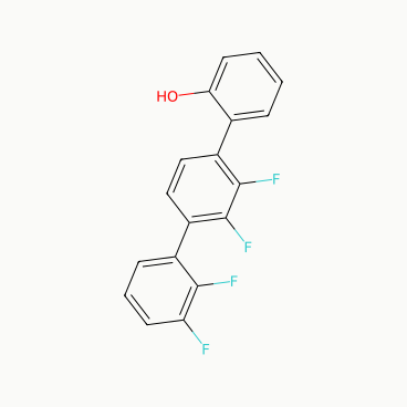 Oc1ccccc1-c1ccc(-c2cccc(F)c2F)c(F)c1F